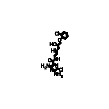 Nc1nc(N)c(C(=O)NCCNCC(O)COc2ccccc2Cl)nc1Cl